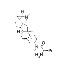 CC(C)[C@@H](N)C(=O)N(C)[C@H]1CC[C@@]2(C)C(=CC[C@H]3C4CC[C@]56C[C@@H]5N(C)C[C@]46CC[C@@H]32)C1